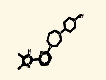 Cc1nc(-c2cccc(N3CCCN(C4CCN(C(C)C)CC4)CC3)n2)[nH]c1C